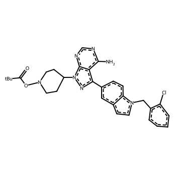 CC(C)(C)C(=O)ON1CCC(n2nc(-c3ccc4c(ccn4Cc4ccccc4Cl)c3)c3c(N)ncnc32)CC1